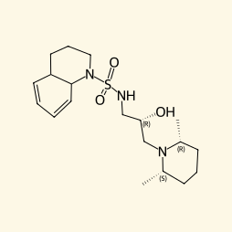 C[C@@H]1CCC[C@H](C)N1C[C@@H](O)CNS(=O)(=O)N1CCCC2C=CC=CC21